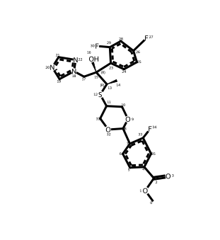 COC(=O)c1ccc(C2OCC(S[C@H](C)[C@](O)(Cn3cncn3)c3ccc(F)cc3F)CO2)c(F)c1